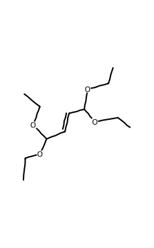 CCOC(C=CC(OCC)OCC)OCC